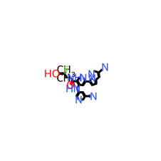 CC(C)(O)C(F)CNC(=O)c1cnc(-c2ccc3cc(C#N)cnn23)cc1Nc1cncc(C#N)c1